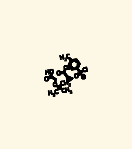 CC(C)(C)OCC(=O)O.Cc1ccc(S(=O)(=O)Cl)cc1.O=C(O)C1CC1